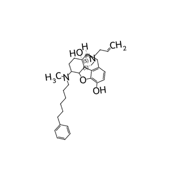 C=CCN1CC[C@]23c4c5ccc(O)c4OC2C(N(C)CCCCCCc2ccccc2)CC[C@@]3(O)[C@H]1C5